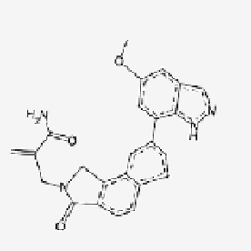 C=C(CN1Cc2c(ccc3ccc(-c4cc(OC)cc5cn[nH]c45)cc23)C1=O)C(N)=O